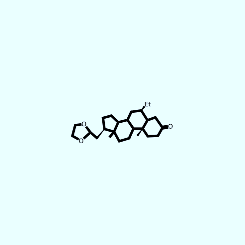 CC[C@@H]1CC2C3CC[C@H](CC4OCCO4)C3(C)CCC2[C@@]2(C)CCC(=O)CC12